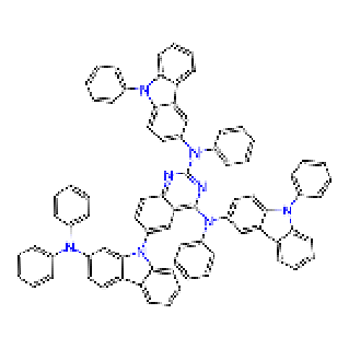 c1ccc(N(c2ccccc2)c2ccc3c4ccccc4n(-c4ccc5nc(N(c6ccccc6)c6ccc7c(c6)c6ccccc6n7-c6ccccc6)nc(N(c6ccccc6)c6ccc7c(c6)c6ccccc6n7-c6ccccc6)c5c4)c3c2)cc1